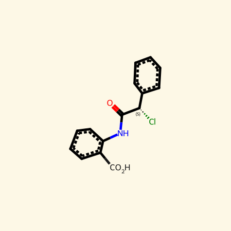 O=C(O)c1ccccc1NC(=O)[C@@H](Cl)c1ccccc1